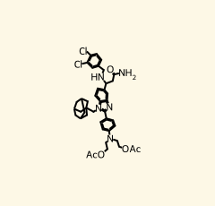 CC(=O)OCCN(CCOC(C)=O)c1ccc(-c2nc3cc(C(CC(N)=O)NCc4ccc(Cl)c(Cl)c4)ccc3n2CC23CC4CC(CC(C4)C2)C3)cc1